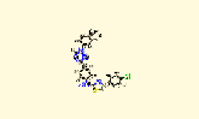 Cc1cc(C2CSC(Nc3ccc(-c4ncn(-c5ccc(C(F)(F)F)cc5)n4)cc3)=N2)ccc1Cl